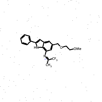 COCCOCc1cc(/N=C(/C)C(F)(F)F)c2[nH]c(-c3ccccc3)cc2c1